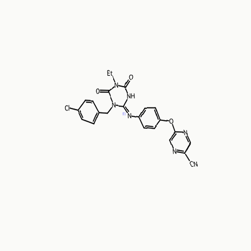 CCn1c(=O)[nH]/c(=N\c2ccc(Oc3cnc(C#N)cn3)cc2)n(Cc2ccc(Cl)cc2)c1=O